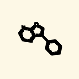 [c]1ccnc2occ(-c3ccccc3)c12